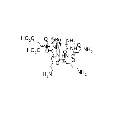 CC[C@H](C)[C@H](NC(=O)[C@H](CCCCN)NC(=O)[C@H](CCCCN)NC(=O)[C@H](CC(N)=O)NC(=O)[C@@H](N)C(C)C)C(=O)N[C@@H](CCC(=O)O)C(=O)O